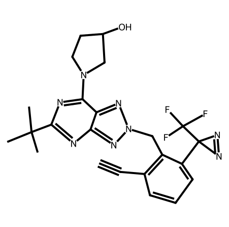 C#Cc1cccc(C2(C(F)(F)F)N=N2)c1Cn1nc2nc(C(C)(C)C)nc(N3CCC(O)C3)c2n1